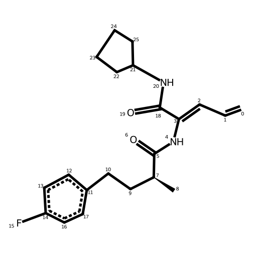 C=C/C=C(\NC(=O)[C@@H](C)CCc1ccc(F)cc1)C(=O)NC1CCCC1